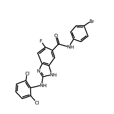 O=C(Nc1ccc(Br)cc1)c1cc2[nH]c(Nc3c(Cl)cccc3Cl)nc2cc1F